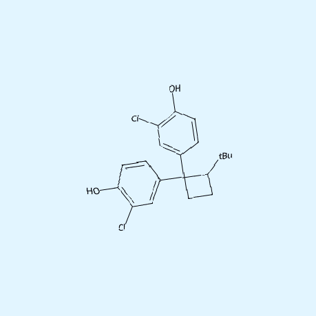 CC(C)(C)C1CCC1(c1ccc(O)c(Cl)c1)c1ccc(O)c(Cl)c1